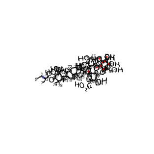 C/C=C(\C)C(=O)O[C@H]1[C@H](O)[C@]2(COC(C)=O)[C@H](O)C[C@]3(C)C(=CC[C@@H]4[C@@]5(C)CC[C@H](O[C@@H]6O[C@H](C(=O)O)[C@@H](O)[C@H](O[C@@H]7OC[C@H](O)[C@H](O)[C@H]7O[C@@H]7OC[C@@H](O)[C@H](O)[C@H]7O)[C@H]6O[C@@H]6O[C@H](CO)[C@H](O)[C@H](O)[C@H]6O)C(C)(C)[C@@H]5CC[C@]43C)[C@@H]2CC1(C)C